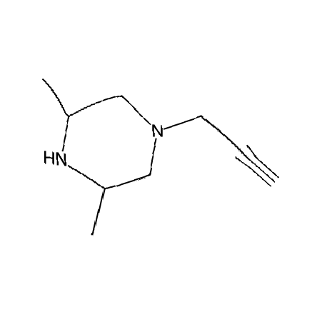 C#CCN1CC(C)NC(C)C1